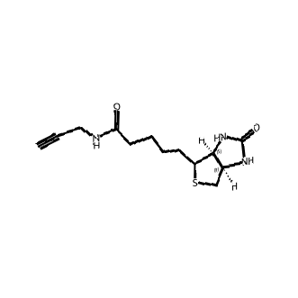 C#CCNC(=O)CCCCC1SC[C@@H]2NC(=O)N[C@H]12